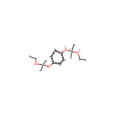 CCO[Si](C)(C)Oc1ccc(O[Si](C)(C)OCC)cc1